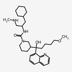 CNCC(CC1CCCCC1)NC(=O)N1CCCC(C(O)(CCCCOC)c2cccc3cccnc23)C1